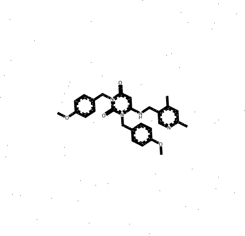 COc1ccc(Cn2c(NCc3cnc(C)cc3C)cc(=O)n(Cc3ccc(OC)cc3)c2=O)cc1